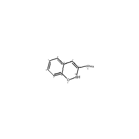 CCCCCCC1=Cc2ccccc2ON1